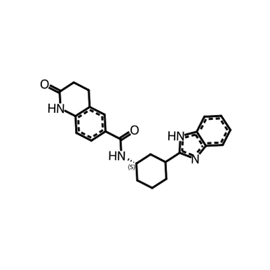 O=C1CCc2cc(C(=O)N[C@H]3CCCC(c4nc5ccccc5[nH]4)C3)ccc2N1